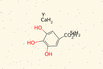 O=C(O)c1cc(O)c(O)c(O)c1.[CaH2].[SrH2].[Y]